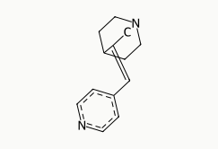 C(=C1CN2CCC1CC2)c1ccncc1